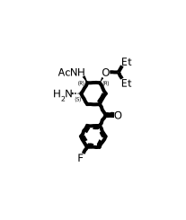 CCC(CC)O[C@@H]1C=C(C(=O)c2ccc(F)cc2)C[C@H](N)[C@H]1NC(C)=O